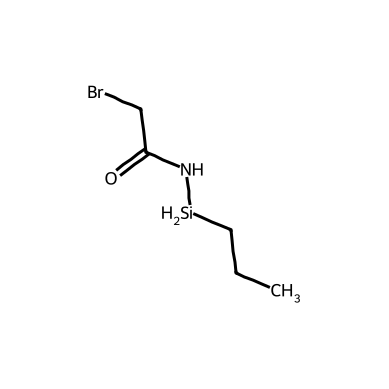 CCC[SiH2]NC(=O)CBr